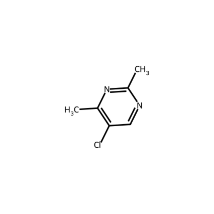 Cc1ncc(Cl)c(C)n1